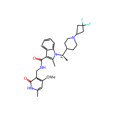 COc1cc(C)[nH]c(=O)c1CNC(=O)c1c(C)n([C@H](C)C2CCN(C3CC(F)(F)C3)CC2)c2ccccc12